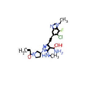 C=CC(=O)N1CC[C@H](n2nc(C#Cc3cc4ncn(CC)c4c(F)c3Cl)c(C(N)O)c2NC)C1